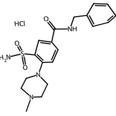 CN1CCN(c2ccc(C(=O)NCc3ccccc3)cc2S(N)(=O)=O)CC1.Cl